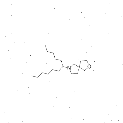 CCCCCCC(CCCCC)N1CCC2(CCOC2)C1